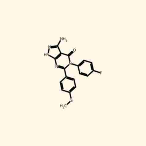 CSc1ccc(-c2nc3[nH]nc(N)c3c(=O)n2-c2ccc(F)cc2)cc1